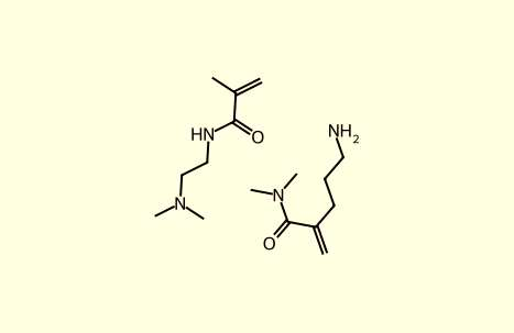 C=C(C)C(=O)NCCN(C)C.C=C(CCCN)C(=O)N(C)C